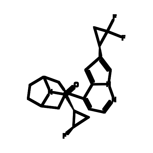 O=C([C@@H]1C[C@H]1F)N1C2CCC1CN(c1ccnn3cc([C@@H]4CC4(F)F)cc13)C2